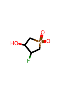 O=S1(=O)CC(O)C(F)C1